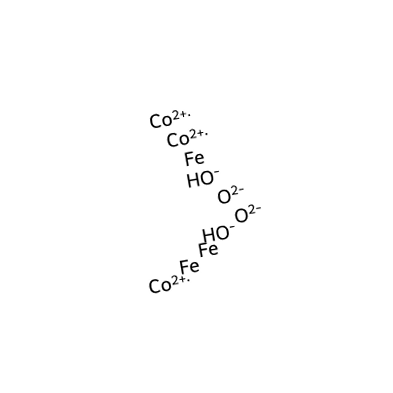 [Co+2].[Co+2].[Co+2].[Fe].[Fe].[Fe].[O-2].[O-2].[OH-].[OH-]